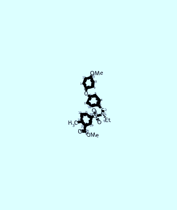 CCN(Sc1ccc(Oc2ccc(OC)cc2)cc1)S(=O)(=O)c1ccc(C)c(C(=O)OC)c1